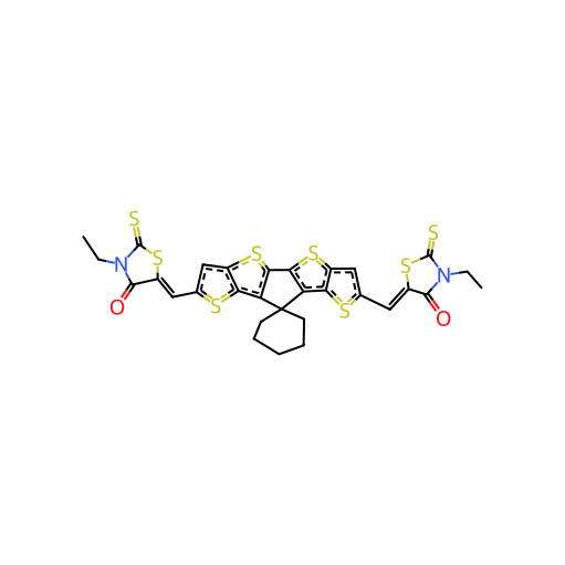 CCN1C(=O)/C(=C/c2cc3sc4c(c3s2)C2(CCCCC2)c2c-4sc3cc(/C=C4\SC(=S)N(CC)C4=O)sc23)SC1=S